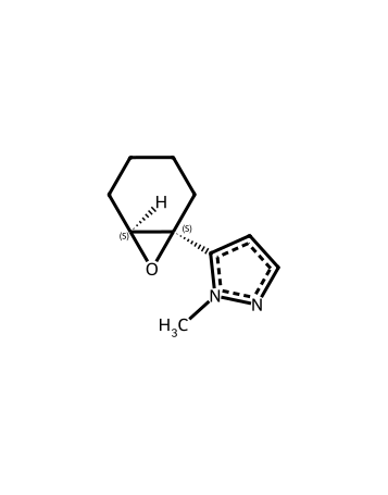 Cn1nccc1[C@@]12CCCC[C@@H]1O2